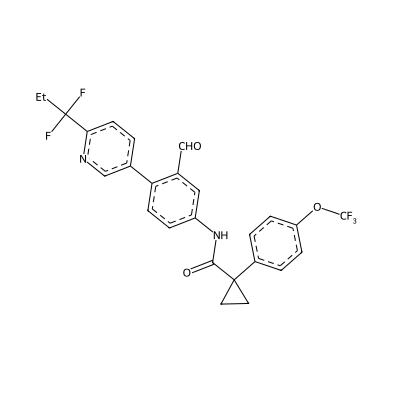 CCC(F)(F)c1ccc(-c2ccc(NC(=O)C3(c4ccc(OC(F)(F)F)cc4)CC3)cc2C=O)cn1